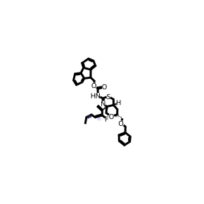 C=C(/C(F)=C\C=C/C)[C@]12CO[C@@H](COCc3ccccc3)C[C@H]1CSC(NC(=O)OCC1c3ccccc3-c3ccccc31)=N2